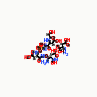 NC(=O)[C@H](CC(=O)O)NO.NC(=O)[C@H](CC(=O)O)NOP(=O)(O)CNC(=O)[C@H](CC(=O)O)NCCO.N[C@@H](CC(=O)O)C(=O)O